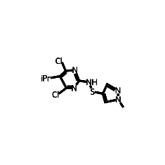 CC(C)c1c(Cl)nc(NSc2cnn(C)c2)nc1Cl